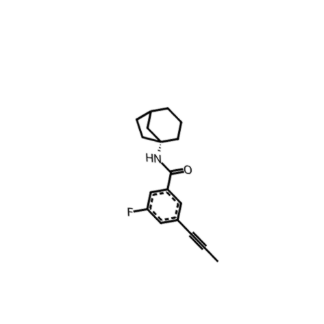 CC#Cc1cc(F)cc(C(=O)N[C@]23CCCC(CC2)C3)c1